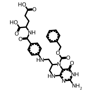 Nc1nc2c(c(=O)[nH]1)N(C(=O)OCc1ccccc1)C(CNc1ccc(C(=O)NC(CCC(=O)O)C(=O)O)cc1)CN2